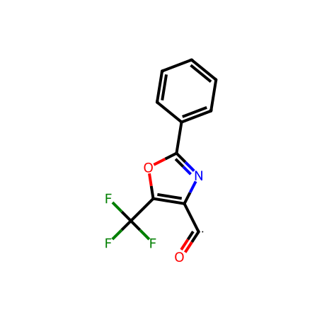 O=[C]c1nc(-c2ccccc2)oc1C(F)(F)F